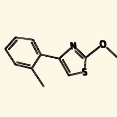 COc1nc(-c2ccccc2C)cs1